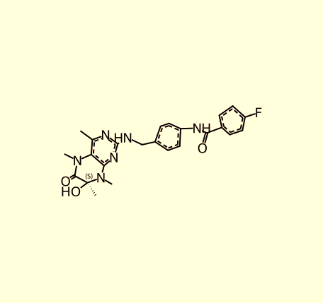 Cc1nc(NCc2ccc(NC(=O)c3ccc(F)cc3)cc2)nc2c1N(C)C(=O)[C@](C)(O)N2C